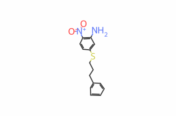 Nc1cc(SCCCc2ccccc2)ccc1[N+](=O)[O-]